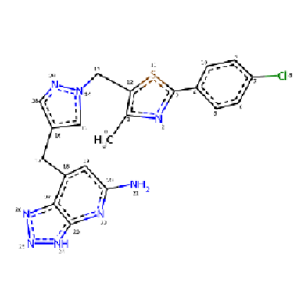 Cc1nc(-c2ccc(Cl)cc2)sc1Cn1cc(Cc2cc(N)nc3[nH]nnc23)cn1